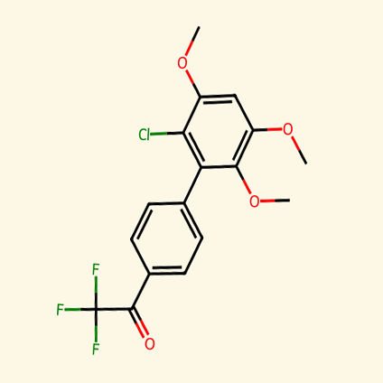 COc1cc(OC)c(OC)c(-c2ccc(C(=O)C(F)(F)F)cc2)c1Cl